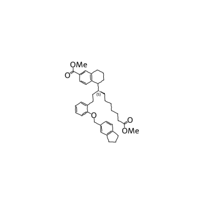 COC(=O)CCCCCC[C@@H](CCc1ccccc1OCc1ccc2c(c1)CCC2)C1CCCc2cc(C(=O)OC)ccc21